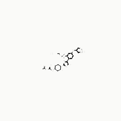 CCNS(=O)(=O)c1cc(Nc2cn[nH]c2)ccc1-c1cnc([C@H]2CC[C@H](NC(=O)OC(C)C)CC2)s1